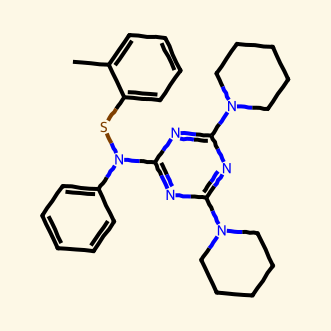 Cc1ccccc1SN(c1ccccc1)c1nc(N2CCCCC2)nc(N2CCCCC2)n1